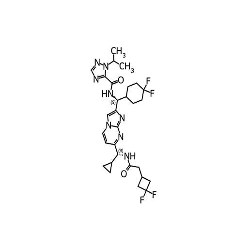 CC(C)n1ncnc1C(=O)N[C@H](c1cn2ccc([C@H](NC(=O)CC3CC(F)(F)C3)C3CC3)nc2n1)C1CCC(F)(F)CC1